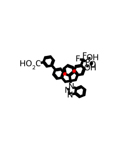 O=C(O)c1cccc(-c2ccc(CC(Cc3ccc(C(F)(F)P(=O)(O)O)cc3)(c3ccccc3)n3nnc4ccccc43)cc2)c1